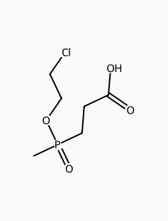 CP(=O)(CCC(=O)O)OCCCl